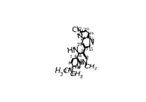 CN/C=C(\C(=N)c1ccc(N(C)C)nc1)c1cnc2ccc(Cl)nc2c1